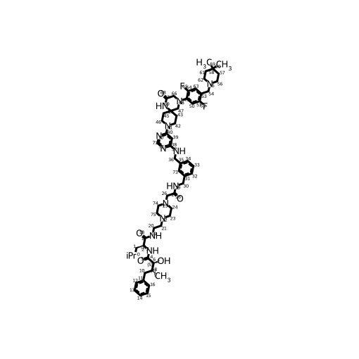 CC(C)C[C@H](NC(=O)[C@@H](O)[C@H](C)Cc1ccccc1)C(=O)NCCN1CCN(CC(=O)NCc2cccc(CNc3cc(N4CCC5(CC4)CN(c4cc(F)c(CN6CCC(C)(C)CC6)cc4F)CC(=O)N5)ncn3)c2)CC1